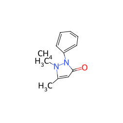 C.Cc1cc(=O)n(-c2ccccc2)n1C